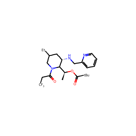 CCC1C[C@H](NCc2ccccn2)C([C@H](C)OC(=O)C(C)(C)C)N(C(=O)CC(F)(F)F)C1